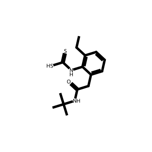 CCc1cccc(CC(=O)NC(C)(C)C)c1NC(=S)S